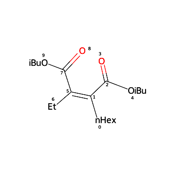 CCCCCC/C(C(=O)OCC(C)C)=C(\CC)C(=O)OCC(C)C